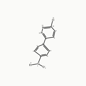 CC[S+]([O-])c1ccc(-c2ccc(Cl)nn2)cc1